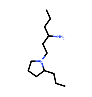 CCCC(N)CCN1CCCC1CCC